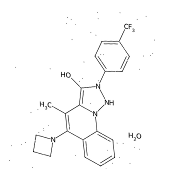 CC1=C(N2CCC2)c2ccccc2N2NN(c3ccc(C(F)(F)F)cc3)C(O)=C12.O